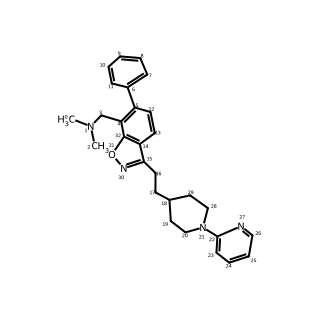 CN(C)Cc1c(-c2ccccc2)ccc2c(CCC3CCN(c4ccccn4)CC3)noc12